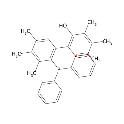 Cc1cc(-c2cc(C)c(C)c(C)c2P(c2ccccc2)c2ccccc2)c(O)c(C)c1C